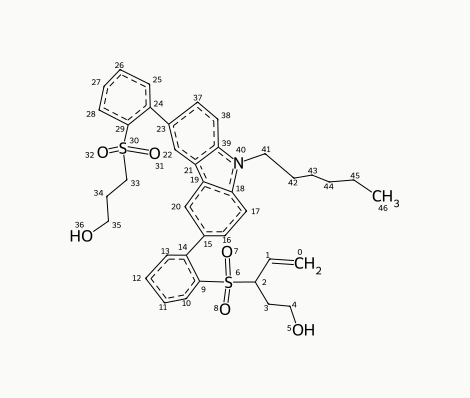 C=CC(CCO)S(=O)(=O)c1ccccc1-c1ccc2c(c1)c1cc(-c3ccccc3S(=O)(=O)CCCO)ccc1n2CCCCCC